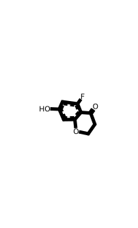 O=C1CCOc2cc(O)cc(F)c21